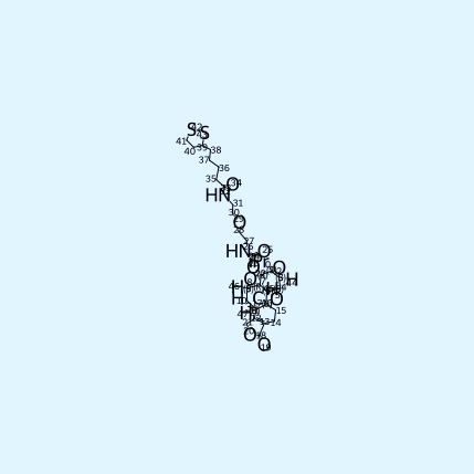 CC(C)[C@]12O[C@H]1[C@@H]1O[C@]13[C@]1(O[C@H]1C[C@H]1C4=C(CC[C@@]13C)C(=O)OC4)[C@@H]2OC(=O)NCCOCCNC(=O)CCCCC1CCSS1